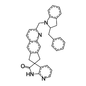 O=C1Nc2ncccc2C12Cc1cc3ccc(CN4c5ccccc5CC4Cc4ccccc4)nc3cc1C2